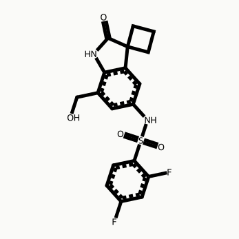 O=C1Nc2c(CO)cc(NS(=O)(=O)c3ccc(F)cc3F)cc2C12CCC2